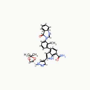 Cc1c(-c2ccc(C(N)=O)c3[nH]c(-c4cnn(C[C@@H]5COC(C)(C)O5)c4)cc23)cccc1-n1cnc2ccccc2c1=O